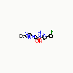 CCc1cn2nc(N3C[C@H](NC(=O)c4ccc(-c5cccc(F)c5)nc4)[C@@H](O)C3)ccc2n1